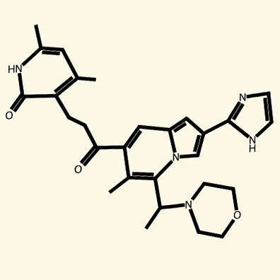 Cc1cc(C)c(CCC(=O)c2cc3cc(-c4ncc[nH]4)cn3c(C(C)N3CCOCC3)c2C)c(=O)[nH]1